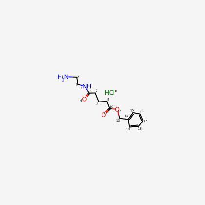 Cl.NCCNC(=O)CCCC(=O)OCc1ccccc1